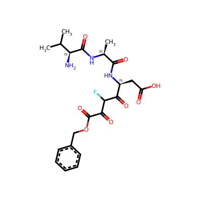 CC(C)[C@H](N)C(=O)N[C@@H](C)C(=O)N[C@@H](CC(=O)O)C(=O)C(F)C(=O)C(=O)OCc1ccccc1